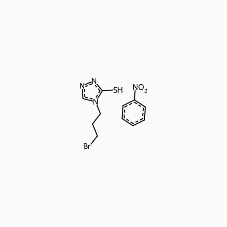 O=[N+]([O-])c1ccccc1.Sc1nncn1CCCBr